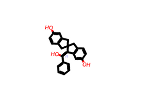 O/C(=C1/c2cc(O)ccc2CC12Cc1ccc(O)cc1C2)c1ccccc1